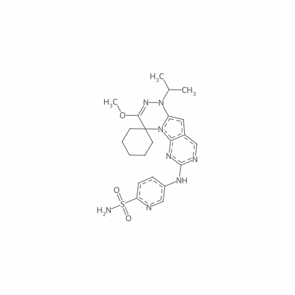 COC1=NN(C(C)C)c2cc3cnc(Nc4ccc(S(N)(=O)=O)nc4)nc3n2C12CCCCC2